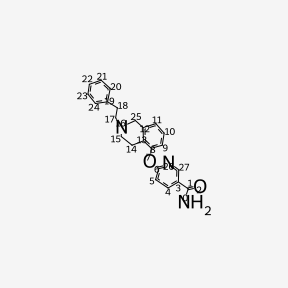 NC(=O)c1ccc(Oc2cccc3c2CCN(CCc2ccccc2)C3)nc1